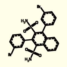 NS(=O)(=O)c1c(-c2cccc(Br)c2)c(S(N)(=O)=O)c2ccccc2c1-c1cccc(Br)c1